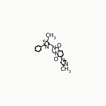 CCc1sc(-c2ccccc2)nc1CN1CCn2c(ccc(-n3cnc(C)c3)c2=O)C1=O